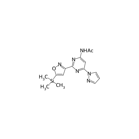 CC(=O)Nc1cc(-n2cccn2)nc(-c2cc([Si](C)(C)C)on2)n1